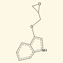 c1ccc2c(OCC3CO3)c[nH]c2c1